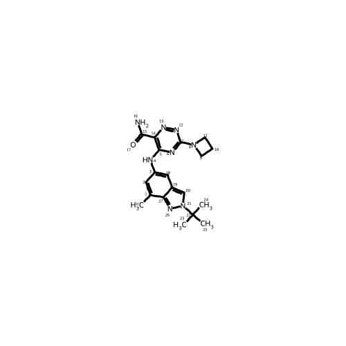 Cc1cc(Nc2nc(N3CCC3)nnc2C(N)=O)cc2cn(C(C)(C)C)nc12